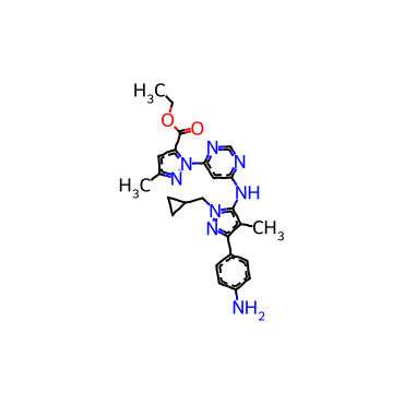 CCOC(=O)c1cc(C)nn1-c1cc(Nc2c(C)c(-c3ccc(N)cc3)nn2CC2CC2)ncn1